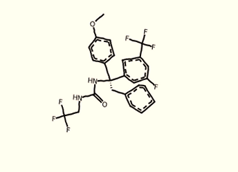 COc1ccc([C@](Cc2ccccc2)(NC(=O)NCC(F)(F)F)c2cc(F)cc(C(F)(F)F)c2)cc1